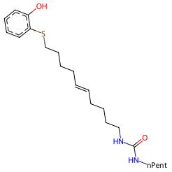 CCCCCNC(=O)NCCCC/C=C/CCCCSc1ccccc1O